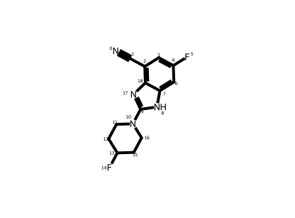 N#Cc1cc(F)cc2[nH]c(N3CCC(F)CC3)nc12